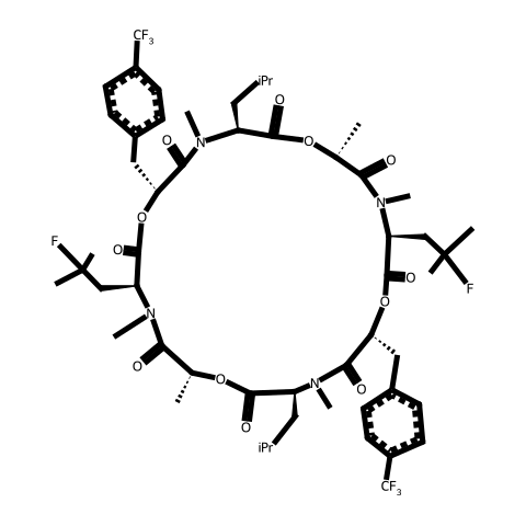 CC(C)C[C@H]1C(=O)O[C@H](C)C(=O)N(C)[C@@H](CC(C)(C)F)C(=O)O[C@H](Cc2ccc(C(F)(F)F)cc2)C(=O)N(C)[C@@H](CC(C)C)C(=O)O[C@H](C)C(=O)N(C)[C@@H](CC(C)(C)F)C(=O)O[C@H](Cc2ccc(C(F)(F)F)cc2)C(=O)N1C